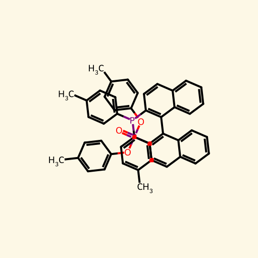 Cc1ccc(OP(=O)(Oc2ccc(C)cc2)c2ccc3ccccc3c2-c2c(P(c3ccc(C)cc3)c3ccc(C)cc3)ccc3ccccc23)cc1